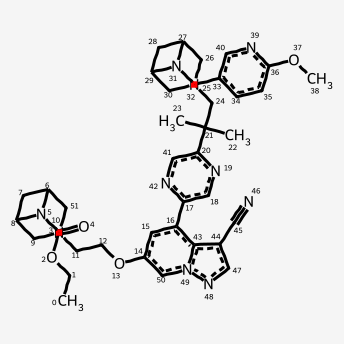 CCOC(=O)N1C2CC1CN(CCOc1cc(-c3cnc(C(C)(C)CN4CC5CC(C4)N5Cc4ccc(OC)nc4)cn3)c3c(C#N)cnn3c1)C2